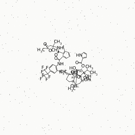 CC(C)[C@@]1(O)[C@@H](OC(=O)c2ccc[nH]2)[C@@]2(O)[C@@]3(C)C[C@]4(O)O[C@@]5([C@H](O)[C@@H](C)CC[C@]35O)[C@@]2(O)[C@@]14C.Cc1cc(C(F)(C(F)(F)F)C(F)(F)F)ccc1NC(=O)c1cccc(I)c1C(=O)NC(C)(C)CS(C)(=O)=O